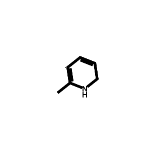 CC1=[C]C=CCN1